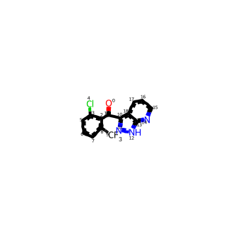 O=C(c1c(Cl)cccc1C(F)(F)F)c1n[nH]c2ncccc12